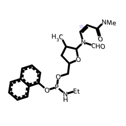 CCNP(OCC1CC(C)C(N(C=O)/C=C\C(=O)NC)O1)Oc1cccc2ccccc12